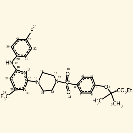 CCOC(=O)C(C)(C)Oc1ccc(S(=O)(=O)N2CCN(c3nc(Nc4ccc(F)cc4)cc(C(F)(F)F)n3)CC2)cc1